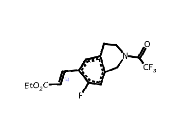 CCOC(=O)/C=C/c1cc2c(cc1F)CN(C(=O)C(F)(F)F)CC2